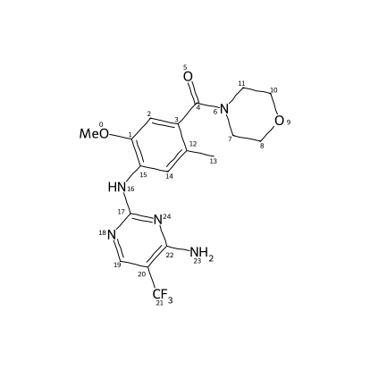 COc1cc(C(=O)N2CCOCC2)c(C)cc1Nc1ncc(C(F)(F)F)c(N)n1